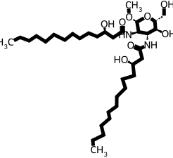 CCCCCCCCCCC[C@@H](O)CC(=O)N[C@H]1[C@H](OC)O[C@H](CO)[C@@H](O)[C@@H]1NC(=O)C[C@H](O)CCCCCCCCCCC